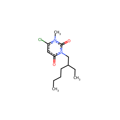 CCCCC(CC)Cn1c(=O)cc(Cl)n(C)c1=O